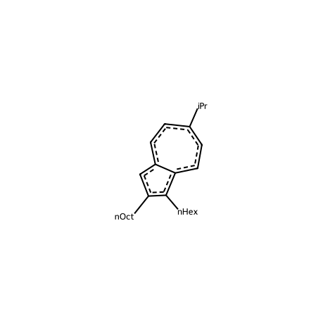 CCCCCCCCc1cc2ccc(C(C)C)ccc-2c1CCCCCC